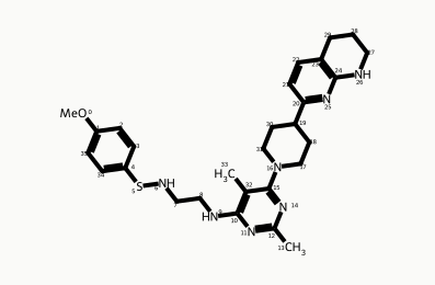 COc1ccc(SNCCNc2nc(C)nc(N3CCC(c4ccc5c(n4)NCCC5)CC3)c2C)cc1